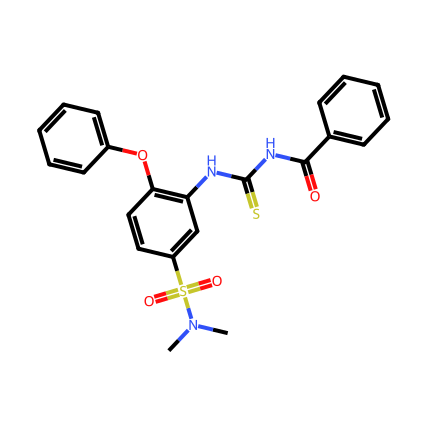 CN(C)S(=O)(=O)c1ccc(Oc2ccccc2)c(NC(=S)NC(=O)c2ccccc2)c1